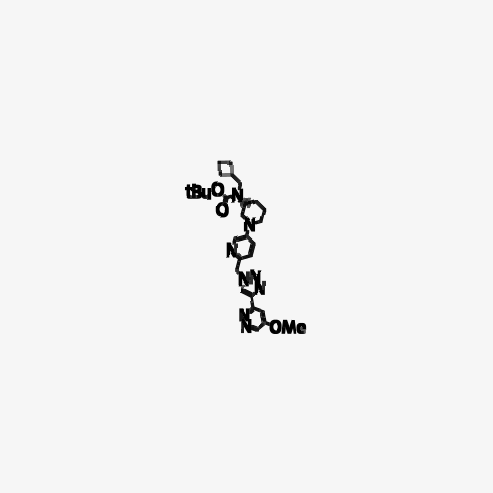 COc1cnnc(-c2cn(Cc3ccc(N4CCC[C@@H](N(CC5CCC5)C(=O)OC(C)(C)C)C4)cn3)nn2)c1